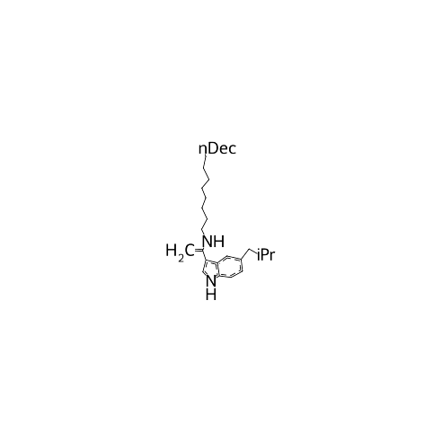 C=C(NCCCCCCCCCCCCCCCCCC)c1c[nH]c2ccc(CC(C)C)cc12